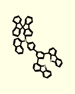 c1ccc2c(c1)-c1ccccc1C21c2ccccc2-c2ccc(N(c3ccc(-c4cc(-c5cccc6c5sc5ccccc56)cc(-c5cccc6c5sc5ccccc56)c4)cc3)c3cccc4ccccc34)cc21